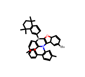 Cc1ccc2c(c1)N(c1cc(C)ccc1-c1ccccc1)C1=C(OC3C=CC(C(C)(C)C)=CC13)B2c1ccc2c(c1)C(C)(C)CCC2(C)C